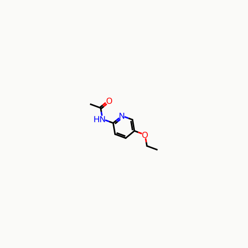 CCOc1ccc(NC(C)=O)nc1